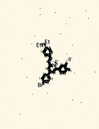 CCN(CC)c1ccc(/C=C/c2cc(-c3ccc(Br)cc3)cc(-c3ccc(C)c(C)c3)[n+]2C)cc1.[I-]